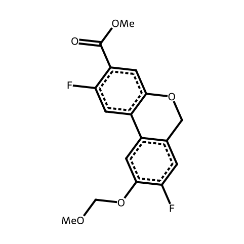 COCOc1cc2c(cc1F)COc1cc(C(=O)OC)c(F)cc1-2